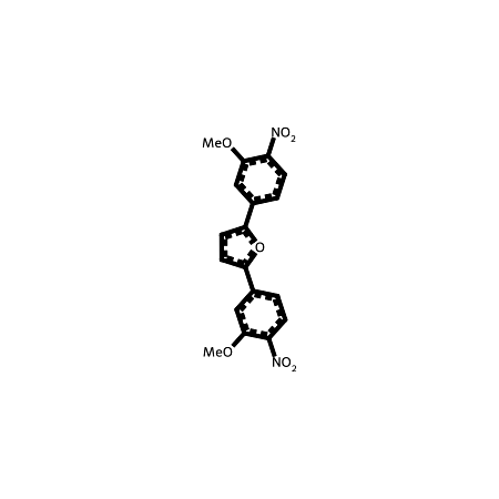 COc1cc(-c2ccc(-c3ccc([N+](=O)[O-])c(OC)c3)o2)ccc1[N+](=O)[O-]